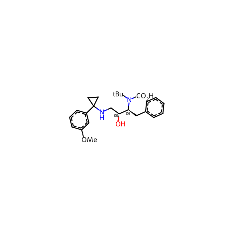 COc1cccc(C2(NC[C@H](O)[C@H](Cc3ccccc3)N(C(=O)O)C(C)(C)C)CC2)c1